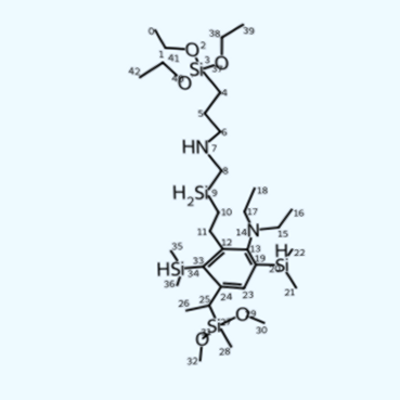 CCO[Si](CCCNC[SiH2]CCc1c(N(CC)CC)c([SiH](C)C)cc(C(C)[Si](C)(OC)OC)c1[SiH](C)C)(OCC)OCC